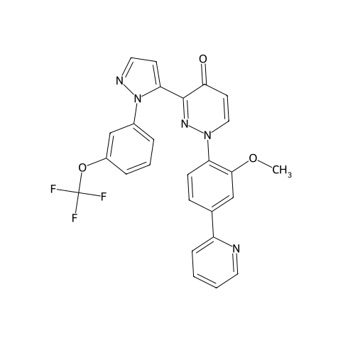 COc1cc(-c2ccccn2)ccc1-n1ccc(=O)c(-c2ccnn2-c2cccc(OC(F)(F)F)c2)n1